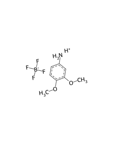 COc1ccc(N)cc1OC.F[B-](F)(F)F.[H+]